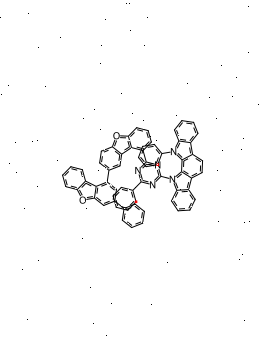 c1ccc(-c2cc(-c3ccc4oc5cccc(-c6nc(-c7ccccc7)nc(-n7c8ccccc8c8ccc9c%10ccccc%10n(-c%10ccccc%10)c9c87)n6)c5c4c3)c3c(c2)oc2ccccc23)cc1